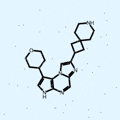 c1[nH]c2ncc3nc(C4CC5(CCNCC5)C4)cn3c2c1C1CCOCC1